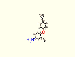 C=Cc1cc(N)ccc1Oc1ccc(C2CC2)cc1